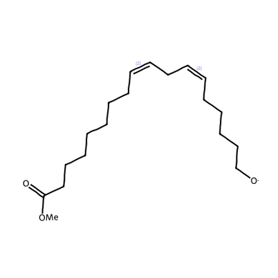 COC(=O)CCCCCCC/C=C\C/C=C\CCCCC[O]